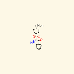 CCCCCCCCCC1CCC(S(=O)(=O)C(=[N+]=[N-])C(=O)c2ccccc2)CC1